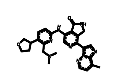 Cc1ccnn2c(-c3ncc(Nc4ccc(C5CCOC5)c(CN(C)C)n4)c4c3CNC4=O)cnc12